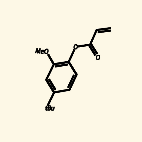 C=CC(=O)Oc1ccc(C(C)(C)C)cc1OC